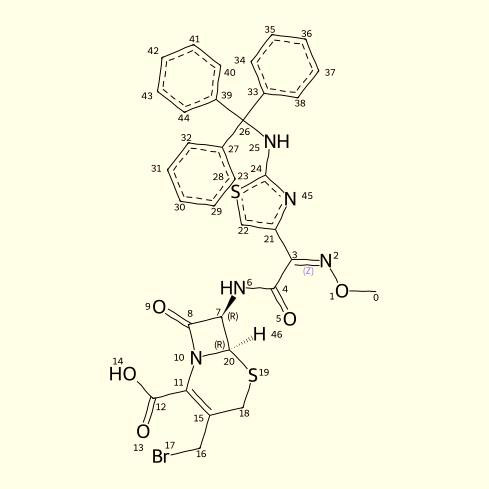 CO/N=C(\C(=O)N[C@@H]1C(=O)N2C(C(=O)O)=C(CBr)CS[C@H]12)c1csc(NC(c2ccccc2)(c2ccccc2)c2ccccc2)n1